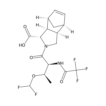 C[C@@H](OC(F)F)[C@H](NC(=O)C(F)(F)F)C(=O)N1C[C@H]2[C@@H]([C@H]1C(=O)O)[C@H]1C=C[C@@H]2C1